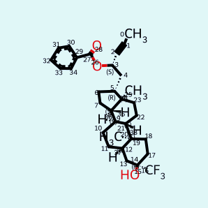 CC#C[C@H](C[C@H]1CC[C@H]2[C@@H]3CC[C@@H]4C[C@@](O)(C(F)(F)F)CC[C@]4(C)[C@H]3CC[C@]12C)OC(=O)c1ccccc1